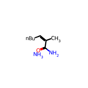 CCCCC=C(C)C(N)=O.N